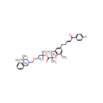 Cc1cc(CC/C=C/C(=O)c2ccc(F)cc2)cc(C)c1OC(C)(C)C(=O)OC(C)(C)CCOCN(Cc1ccccc1)C[Si](C)(C)C